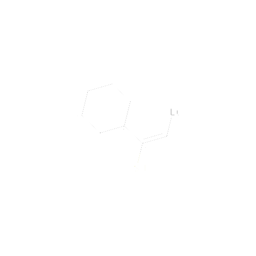 CC/C=C(/S)C1CCCCC1